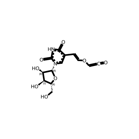 O=C=COC=Cc1cn([C@@H]2O[C@H](CO)[C@@H](O)[C@H]2O)c(=O)[nH]c1=O